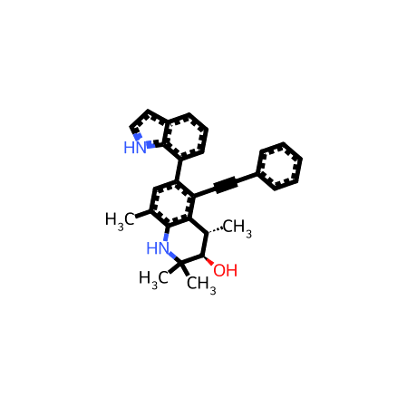 Cc1cc(-c2cccc3cc[nH]c23)c(C#Cc2ccccc2)c2c1NC(C)(C)[C@H](O)[C@H]2C